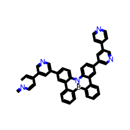 C=N/C=C\C(=C/C)c1cncc(-c2ccc3c(c2)-c2ccccc2B2c4ccccc4-c4cc(-c5cncc(-c6ccncc6)c5)ccc4N23)c1